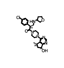 C[C@@H]1C[C@@H](O)c2ncnc(N3CCN(C(=O)[C@H](CN[C@@H]4CCOC4)c4ccc(Cl)cc4)CC3)c21